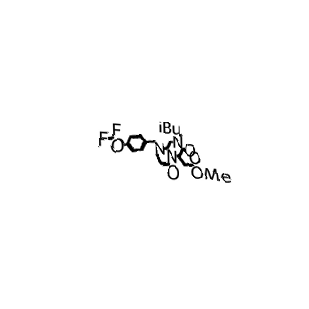 CCC(C)CN1CC2N(Cc3ccc(OC(F)F)cc3)CCC(=O)N2C(CC(=O)OC)C1=O